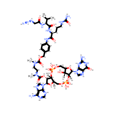 CC(C)[C@H](NC(=O)CN=[N+]=[N-])C(=O)N[C@@H](CCCNC(N)=O)C(=O)Nc1ccc(COC(=O)N(C)CCN(C)C(=O)O[C@@H]2[C@@H]3O[P@](=O)(O)OC[C@H]4O[C@@H](n5cnc6c(=O)[nH]c(N)nc65)[C@H](O[P@](=O)(O)OC[C@H]3O[C@H]2n2cnc3c(N)ncnc32)[C@@H]4O)cc1